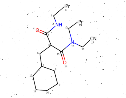 CC(C)CNC(=O)C(CC1CCCCC1)C(=O)N(CC#N)CC(C)C